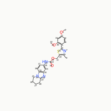 COc1ccc(-c2nc(C)c(COC(=O)Nc3ccc4c(c3)nc3n4CCCC3)s2)c(OC)c1